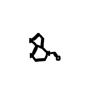 O=Cn1ccnc2nccc1-2